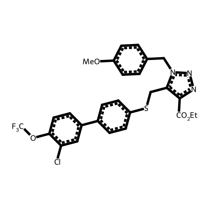 CCOC(=O)c1nnn(Cc2ccc(OC)cc2)c1CSc1ccc(-c2ccc(OC(F)(F)F)c(Cl)c2)cc1